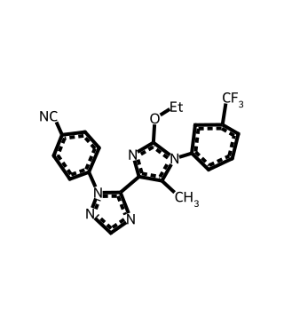 CCOc1nc(-c2ncnn2-c2ccc(C#N)cc2)c(C)n1-c1cccc(C(F)(F)F)c1